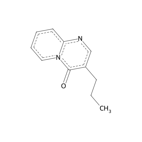 CCCc1cnc2ccccn2c1=O